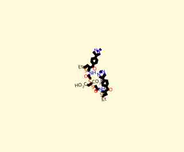 CCc1cc(C(=O)c2ccc(-c3cncnc3)cc2)c(NC(=O)CSC(CC(=O)O)(SCC(=O)Nc2sc(CC)cc2C(=O)c2ccc(-c3cnn(C)c3)cc2)C(=O)O)s1